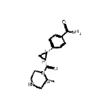 C[C@H]1CNCCN1C(=O)[C@@H]1C[C@@H]1c1ccc(C(N)=O)cc1